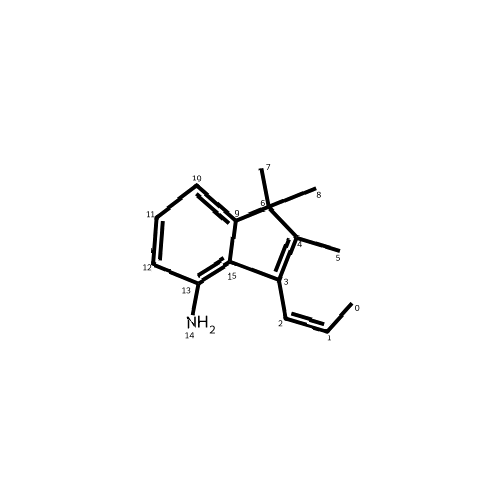 C/C=C\C1=C(C)C(C)(C)c2cccc(N)c21